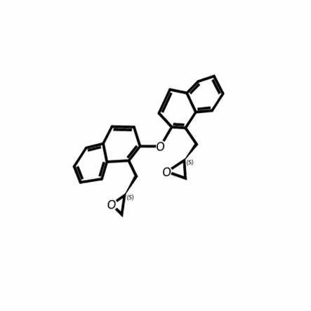 c1ccc2c(C[C@H]3CO3)c(Oc3ccc4ccccc4c3C[C@H]3CO3)ccc2c1